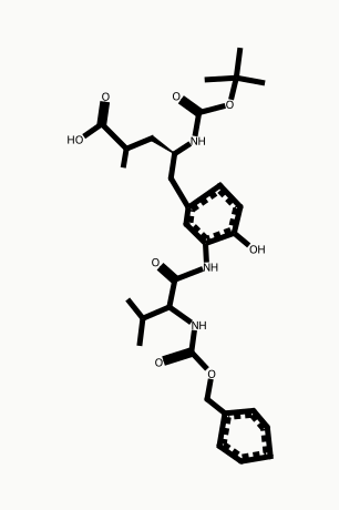 CC(C[C@H](Cc1ccc(O)c(NC(=O)C(NC(=O)OCc2ccccc2)C(C)C)c1)NC(=O)OC(C)(C)C)C(=O)O